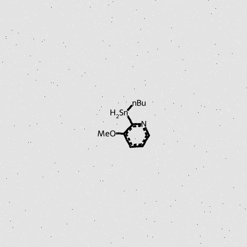 CCC[CH2][SnH2][c]1ncccc1OC